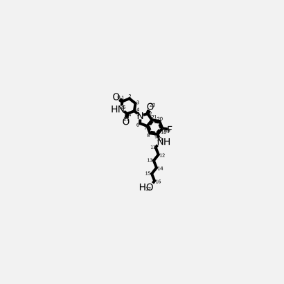 O=C1CCC(N2Cc3cc(NCCCCCCO)c(F)cc3C2=O)C(=O)N1